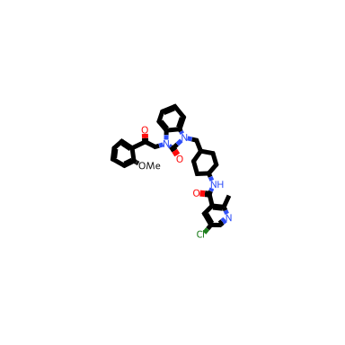 COc1ccccc1C(=O)Cn1c(=O)n(CC2CCC(NC(=O)c3cc(Cl)cnc3C)CC2)c2ccccc21